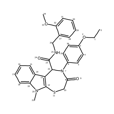 CCOc1ccc(N2C(=O)CSc3c(c4ccccc4n3C)C2C(=O)NCc2ccccc2OC)cc1